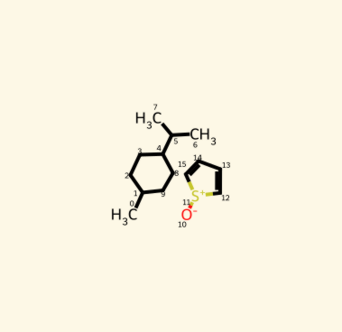 CC1CCC(C(C)C)CC1.[O-][s+]1cccc1